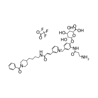 NCCC(=O)Nc1cc(C[n+]2cccc(/C=C/C(=O)NCCCCC3CCN(C(=O)c4ccccc4)CC3)c2)ccc1O[C@@H]1O[C@H](C(=O)O)[C@@H](O)[C@H](O)[C@H]1O.O=C([O-])C(F)(F)F